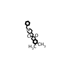 Cc1cc2c(cc1C)C(=O)C(Cl)(CC1CCN(Cc3ccccc3)CC1)C2